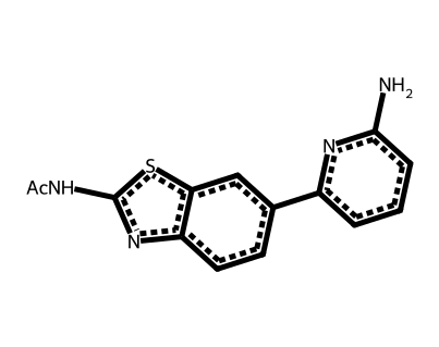 CC(=O)Nc1nc2ccc(-c3cccc(N)n3)cc2s1